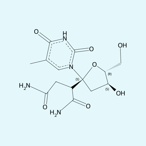 Cc1cn([C@@]2(C(CC(N)=O)C(N)=O)C[C@H](O)[C@@H](CO)O2)c(=O)[nH]c1=O